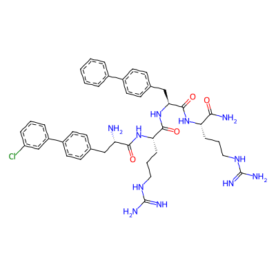 N=C(N)NCCC[C@H](NC(=O)[C@H](Cc1ccc(-c2ccccc2)cc1)NC(=O)[C@H](CCCNC(=N)N)NC(=O)[C@@H](N)Cc1ccc(-c2cccc(Cl)c2)cc1)C(N)=O